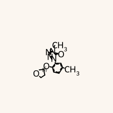 Cc1ccc(O[C@@H]2CCOC2)c(-n2nnn(C)c2=O)c1